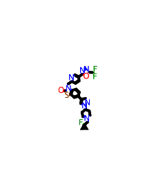 O=c1sc2cc(-c3cnn(C4CCN(CC5(F)CC5)CC4)c3)ccc2n1Cc1ccc(-c2nnc(C(F)F)o2)cn1